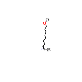 CC/C=C\CCCCCCCOCC